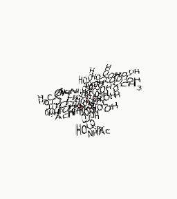 CC(=O)NC1[C@H](OC2[C@@H](OCC3O[C@@H](O[C@@H]4C(CO)O[C@@H](O[C@@H]5C(CO)O[C@@H](C(C)C)C(NC(C)=O)[C@H]5O)C(NC(C)=O)[C@H]4O)C(O)[C@@H](O[C@H]4OC(CO)[C@@H](O)[C@H](O)C4O[C@@H]4OC(CO)[C@@H](O[C@@H]5OC(CO[C@@H]6C[C@@H](O)[C@@H](C)C(C(O)C(O)CO)O6)[C@H](O)[C@H](O)C5O)[C@H](O)C4C)[C@@H]3O)OC(CO)[C@@H](O)[C@@H]2O)OC(CO)[C@@H](O[C@@H]2OC(CO[C@@H]3C[C@@H](O)[C@@H](C)C(C(O)C(O)CO)O3)[C@H](O)[C@H](O)C2O)[C@@H]1O